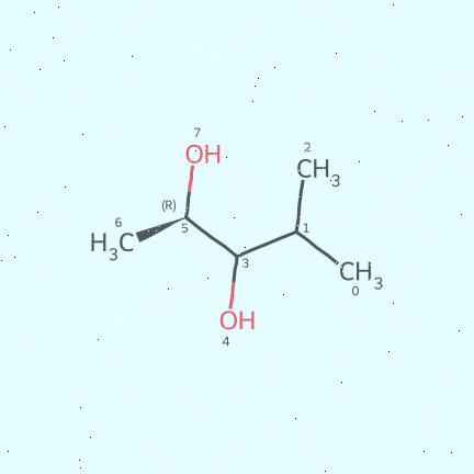 CC(C)C(O)[C@@H](C)O